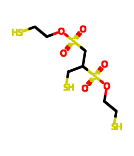 O=S(=O)(CC(CS)S(=O)(=O)OCCS)OCCS